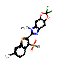 CCS(=O)(=O)c1c(-c2nc3cc4c(cc3n2C)OC(F)(F)O4)sc2cc(C(F)(F)F)ccc12